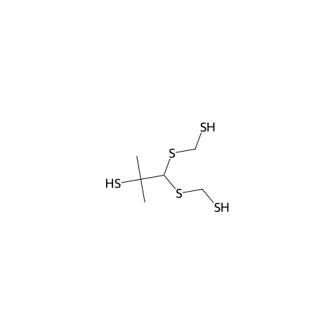 CC(C)(S)C(SCS)SCS